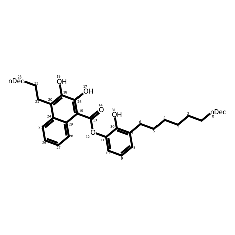 CCCCCCCCCCCCCCCCc1cccc(OC(=O)c2c(O)c(O)c(CCCCCCCCCCCC)c3ccccc23)c1O